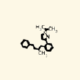 CC(CCc1ccccc1)Cc1ccccc1-c1ccn(C(C)C)n1